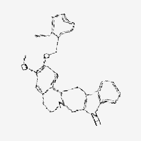 COc1cc2c(cc1OCc1ccccc1C)C1Cc3c([nH]c4ccccc34)CN1CC2